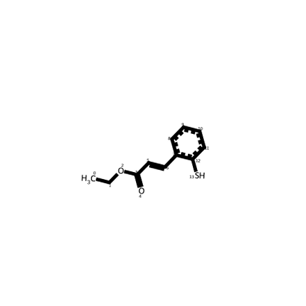 CCOC(=O)C=Cc1ccccc1S